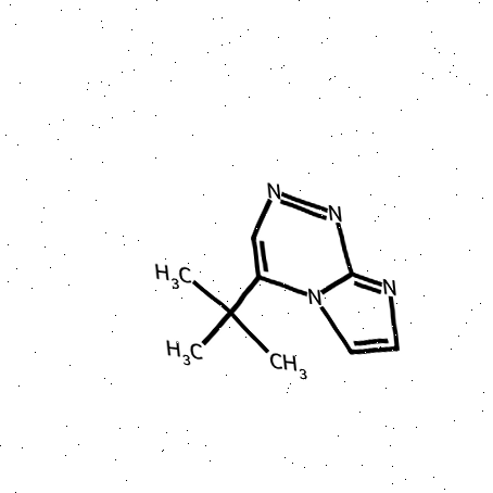 CC(C)(C)c1cnnc2nccn12